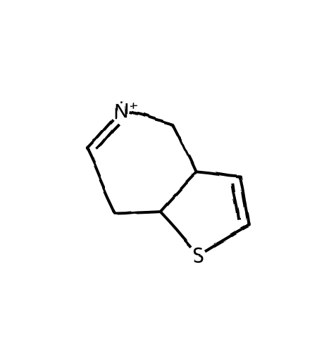 C1=CC2C[N+]=CCC2S1